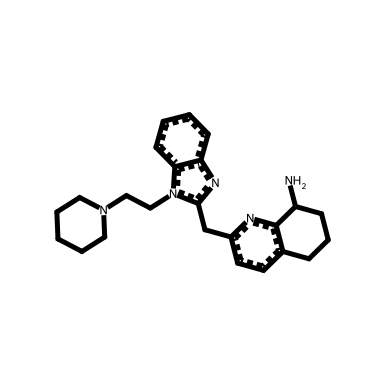 NC1CCCc2ccc(Cc3nc4ccccc4n3CCN3CCCCC3)nc21